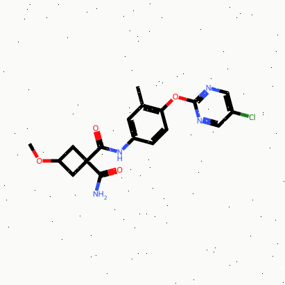 COC1CC(C(N)=O)(C(=O)Nc2ccc(Oc3ncc(Cl)cn3)c(C)c2)C1